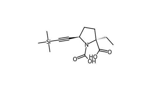 CC[C@@]1(C(=O)O)CC[C@H](C#C[Si](C)(C)C)N1C(=O)O